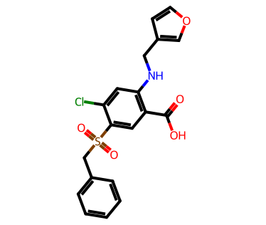 O=C(O)c1cc(S(=O)(=O)Cc2ccccc2)c(Cl)cc1NCc1ccoc1